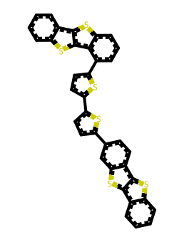 c1ccc2c(c1)sc1c3ccc(-c4ccc(-c5ccc(-c6cccc7sc8c9ccccc9sc8c67)s5)s4)cc3sc21